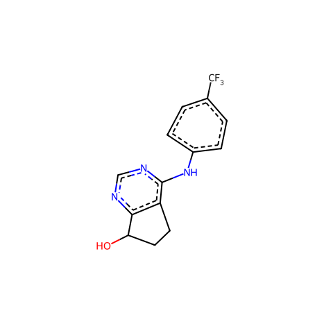 OC1CCc2c(Nc3ccc(C(F)(F)F)cc3)ncnc21